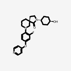 O=C1N([C@H]2CC[C@H](O)CC2)CC[C@@]12CCCN(c1ccc(Oc3ccncc3)cc1F)C2